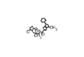 CC1=CC(C2CCCCC2)C2=C1C=C(C(=O)CCC(C)(C)CC1C(=O)CCC1=O)C2